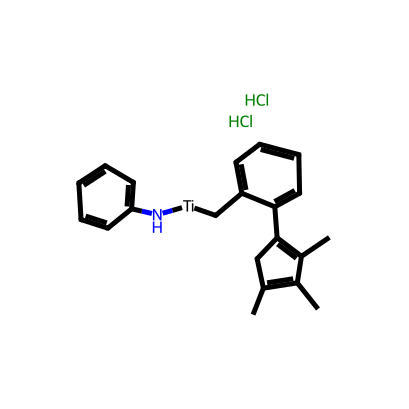 CC1=C(C)C(C)=C(c2ccccc2[CH2][Ti][NH]c2ccccc2)C1.Cl.Cl